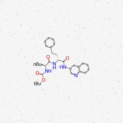 CCCC[C@H](NC(=O)OC(C)(C)C)C(=O)N[C@H](CCc1ccccc1)C(=O)Nc1cnc2ccccc2c1